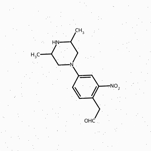 CC1CN(c2ccc(CC=O)c([N+](=O)[O-])c2)CC(C)N1